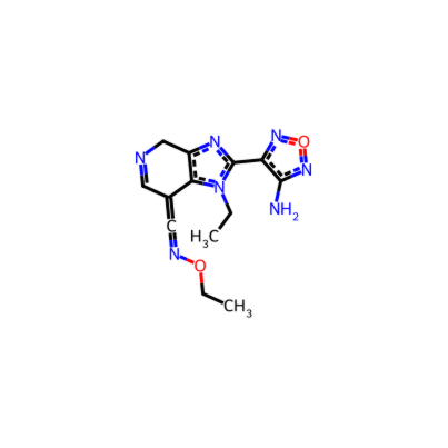 CCON=C=C1C=NCc2nc(-c3nonc3N)n(CC)c21